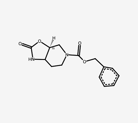 O=C1NC2CCN(C(=O)OCc3ccccc3)C[C@@H]2O1